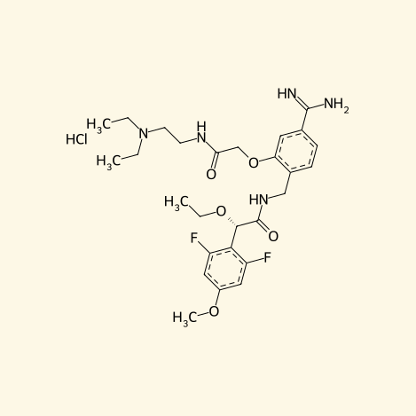 CCO[C@H](C(=O)NCc1ccc(C(=N)N)cc1OCC(=O)NCCN(CC)CC)c1c(F)cc(OC)cc1F.Cl